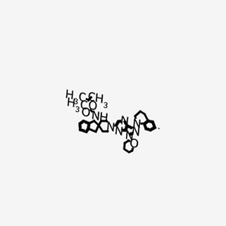 CC(C)(C)OC(=O)N[C@@H]1c2ccccc2CC12CCN(c1cnc3c(N4CCCc5c[c]ccc54)nn(C4CCCCO4)c3n1)CC2